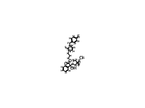 Cc1n(CCCOC(=O)[C@](O)(c2ccccc2)[C@@H]2CCC(F)(F)C2)cc[n+]1Cc1ccc(F)cc1.[Cl-]